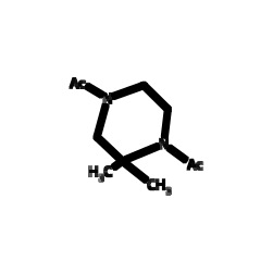 CC(=O)N1CCN(C(C)=O)C(C)(C)C1